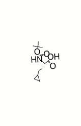 CC(C)(C)OC(=O)N[C@@H](CCC1CC1)C(=O)O